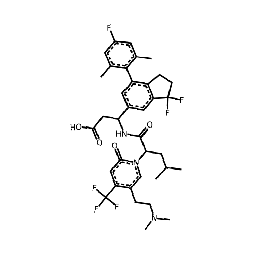 Cc1cc(F)cc(C)c1-c1cc(C(CC(=O)O)NC(=O)C(CC(C)C)n2cc(CCN(C)C)c(C(F)(F)F)cc2=O)cc2c1CCC2(F)F